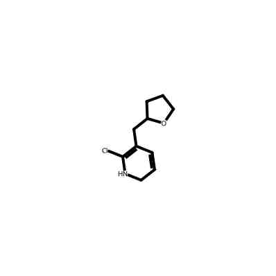 ClC1=C(CC2CCCO2)C=[C]CN1